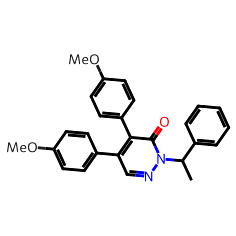 COc1ccc(-c2cnn(C(C)c3ccccc3)c(=O)c2-c2ccc(OC)cc2)cc1